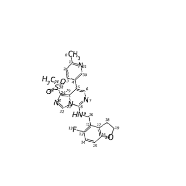 Cc1ccc(-c2cnc(NCc3c(F)ccc4c3CCO4)n3cnc(S(C)(=O)=O)c23)cn1